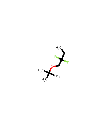 CCC(F)(F)COC(C)(C)C